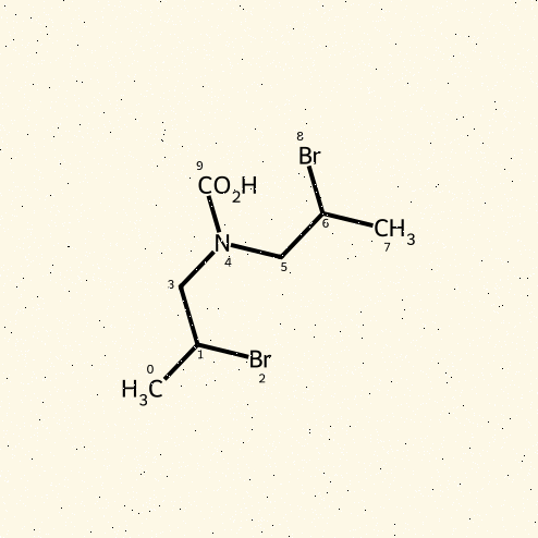 CC(Br)CN(CC(C)Br)C(=O)O